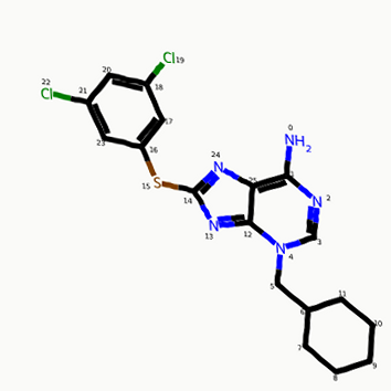 Nc1ncn(CC2CCCCC2)c2nc(Sc3cc(Cl)cc(Cl)c3)nc1-2